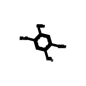 COc1cc(OC)c([N+](=O)[O-])cc1OC